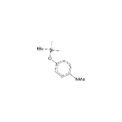 CNc1ccc(O[Si](C)(C)C(C)(C)C)cc1